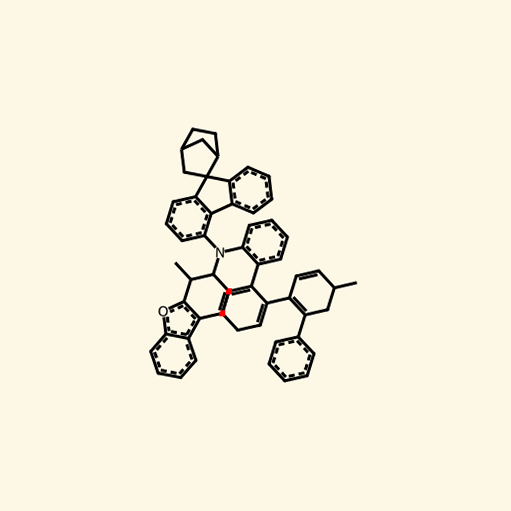 CC1C=CC(C2=CCCC=C2c2ccccc2N(c2cccc3c2-c2ccccc2C32CC3CCC2C3)C2C=Cc3c(oc4ccccc34)C2C)=C(c2ccccc2)C1